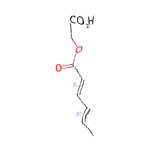 C/C=C/C=C/C(=O)OCC(=O)O